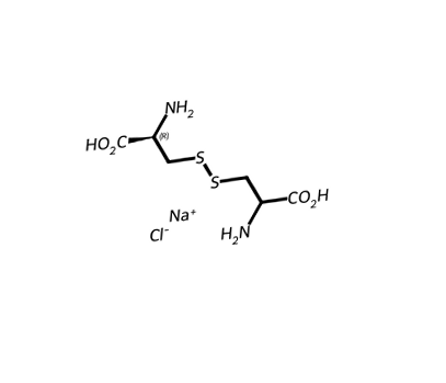 NC(CSSC[C@H](N)C(=O)O)C(=O)O.[Cl-].[Na+]